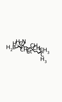 BC/C=C(\C)C(C)(CN)CC/C=C(\C)C(C)(CC)CCC=C(C)C